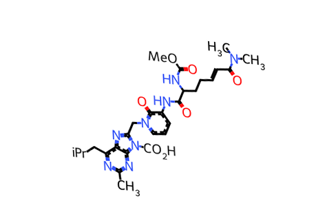 COC(=O)NC(CC/C=C/C(=O)N(C)C)C(=O)Nc1cccn(Cc2nc3c(CC(C)C)nc(C)nc3n2C(=O)O)c1=O